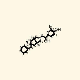 COC1(Cc2ccccc2)C[C@H]2CN(CC(O)c3ccc(O)c(F)n3)C[C@H]2C1